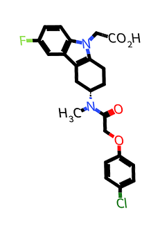 CN(C(=O)COc1ccc(Cl)cc1)[C@H]1CCc2c(c3cc(F)ccc3n2CC(=O)O)C1